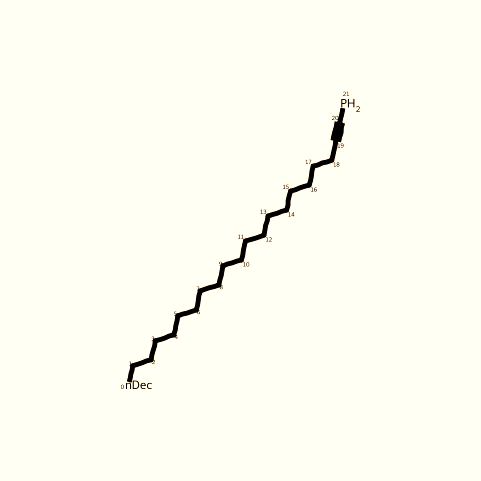 CCCCCCCCCCCCCCCCCCCCCCCCCCCCC#CP